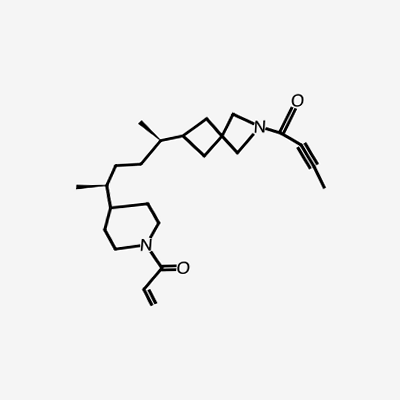 C=CC(=O)N1CCC([C@@H](C)CC[C@@H](C)C2CC3(C2)CN(C(=O)C#CC)C3)CC1